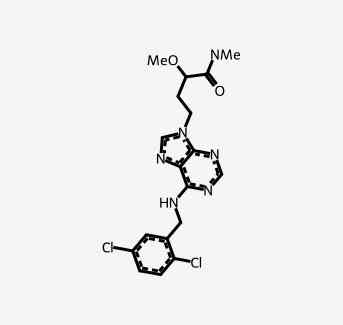 CNC(=O)C(CCn1cnc2c(NCc3cc(Cl)ccc3Cl)ncnc21)OC